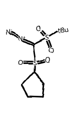 CC(C)(C)S(=O)(=O)C(=[N+]=[N-])S(=O)(=O)C1CCCC1